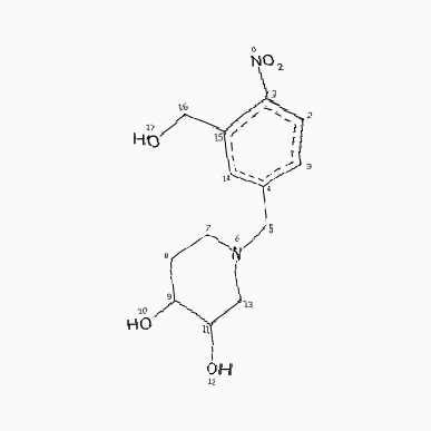 O=[N+]([O-])c1ccc(CN2CCC(O)C(O)C2)cc1CO